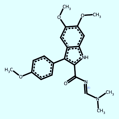 COc1ccc(-c2c(C(=O)/N=C/N(C)C)[nH]c3cc(OC)c(OC)cc23)cc1